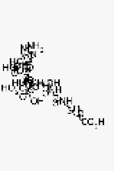 CC(C)(COP(=O)(O)OP(=O)(O)OC[C@H]1O[C@@H](n2cnc3c(N)ncnc32)[C@H](O)[C@@H]1OP(=O)(O)O)C(O)C(=O)NCCC(=O)NCCSC(=O)CC(=O)CC(=O)O.O=C(O)CC(=O)CCO